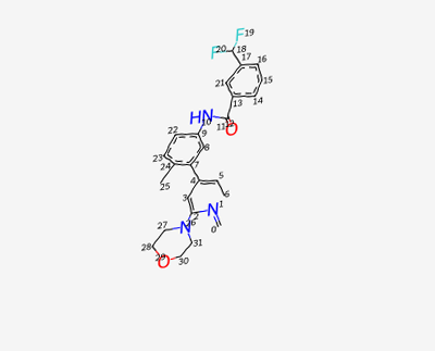 C=N/C(=C\C(=C/C)c1cc(NC(=O)c2cccc(C(F)F)c2)ccc1C)N1CCOCC1